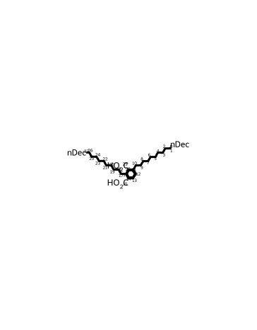 CCCCCCCCCCCCCCCCCCCCc1ccc(C(=O)O)c(CCCCCCCCCCCCCCCCCCCC)c1C(=O)O